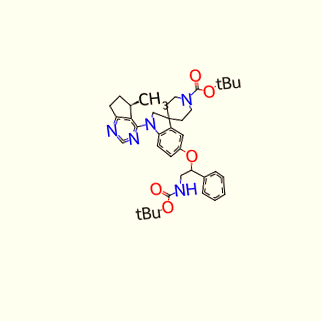 C[C@@H]1CCc2ncnc(N3CC4(CCN(C(=O)OC(C)(C)C)CC4)c4cc(OC(CNC(=O)OC(C)(C)C)c5ccccc5)ccc43)c21